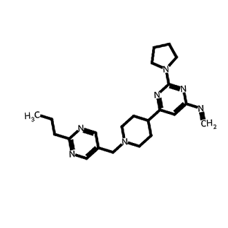 C=Nc1cc(C2CCN(Cc3cnc(CCC)nc3)CC2)nc(N2CCCC2)n1